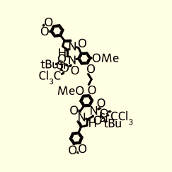 COc1cc2c(cc1OCCCOc1cc3c(cc1OC)C(=O)N1C=C(c4ccc5c(c4)OCO5)C[C@H]1[C@H](O[Si](C)(C)C(C)(C)C)N3C(=O)OCC(Cl)(Cl)Cl)N(C(=O)OCC(Cl)(Cl)Cl)[C@@H](O[Si](C)(C)C(C)(C)C)[C@@H]1CC(c3ccc4c(c3)OCO4)=CN1C2=O